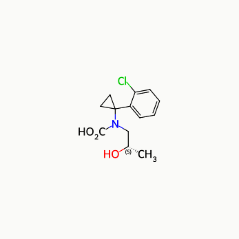 C[C@H](O)CN(C(=O)O)C1(c2ccccc2Cl)CC1